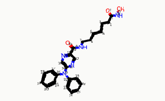 O=C(CCCCCCNC(=O)c1cnc(N(c2ccccc2)c2ccccc2)cn1)NO